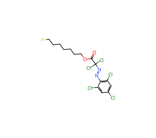 O=C(OCCCCCCCF)C(Cl)(Cl)N=Nc1c(Cl)cc(Cl)cc1Cl